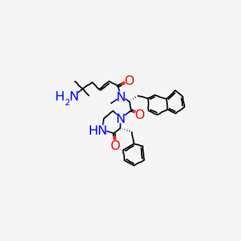 CN(C(=O)/C=C/CC(C)(C)N)[C@H](Cc1ccc2ccccc2c1)C(=O)N1CCNC(=O)[C@H]1Cc1ccccc1